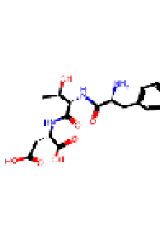 C[C@@H](O)[C@H](NC(=O)[C@@H](N)Cc1ccccc1)C(=O)N[C@@H](CC(=O)O)C(=O)O